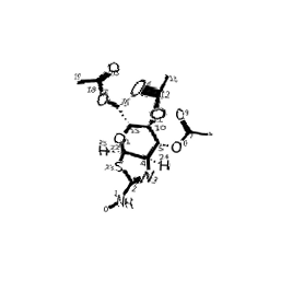 CNC1=N[C@@H]2[C@@H](OC(C)=O)[C@H](OC(C)=O)[C@@H](COC(C)=O)O[C@@H]2S1